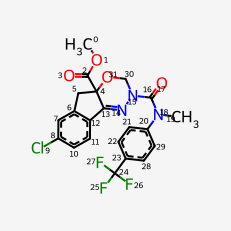 COC(=O)C12Cc3cc(Cl)ccc3C1=NN(C(=O)N(C)c1ccc(C(F)(F)F)cc1)CO2